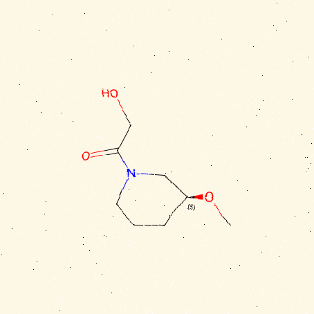 CO[C@H]1CCCN(C(=O)CO)C1